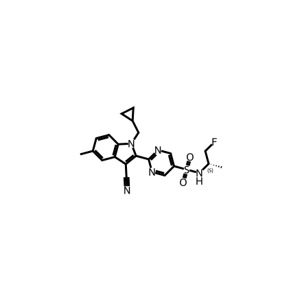 Cc1ccc2c(c1)c(C#N)c(-c1ncc(S(=O)(=O)N[C@@H](C)CF)cn1)n2CC1CC1